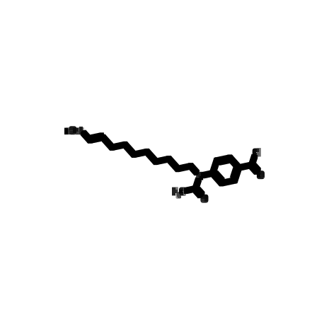 CCCCCCCCC=CCCCCCCCCN(C(=O)C(F)(F)F)c1ccc(C(=O)Cl)cc1